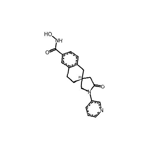 O=C(NO)c1ccc2c(c1)CC[C@]1(CC(=O)N(c3cccnc3)C1)C2